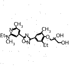 CCc1cc(-c2noc(-c3cc(C)nc(N(C)CC)c3)n2)cc(C)c1OC[C@H](O)CO